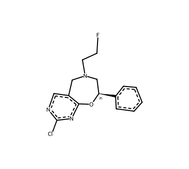 FCCN1Cc2cnc(Cl)nc2O[C@H](c2ccccc2)C1